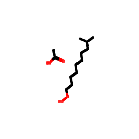 CC(=O)O.CC(C)CCCCCCCCOO